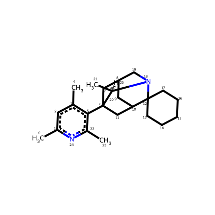 Cc1cc(C)c(C23CC4CC(C2)C2(CCCCC2)N(C4)[C@@H]3C)c(C)n1